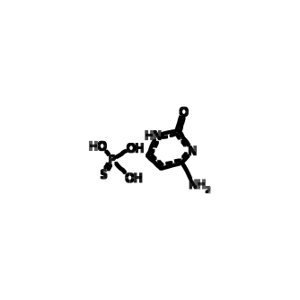 Nc1cc[nH]c(=O)n1.OP(O)(O)=S